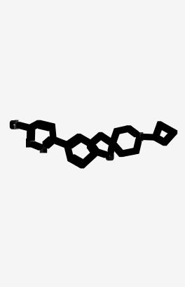 Clc1ccc(-c2ccc3c(c2)CC2(CCN(C4CCC4)CC2)O3)nn1